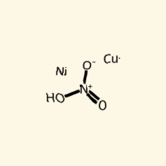 O=[N+]([O-])O.[Cu].[Ni]